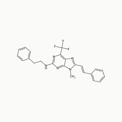 Cn1c(C=Cc2ccccc2)nc2c(C(F)(F)F)nc(NCCc3ccccc3)nc21